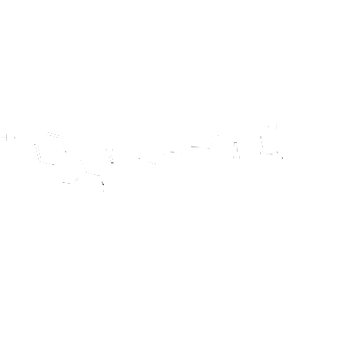 Cc1ccc2cc([C@H](C)C(=O)OCCSSCCOC(=O)OC(C)O[N+](=O)[O-])ccc2c1